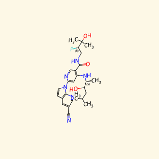 CC(C)CC(O)[C@H](C)Nc1cc(-n2ccc3cc(C#N)cnc32)ncc1C(=O)NC[C@@H](F)C(C)(C)O